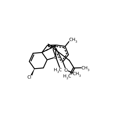 C=C(C)C[N+]1(C)CCC23C=C[C@H](Cl)CC2Oc2c(OC)cc(C)c(c23)C1